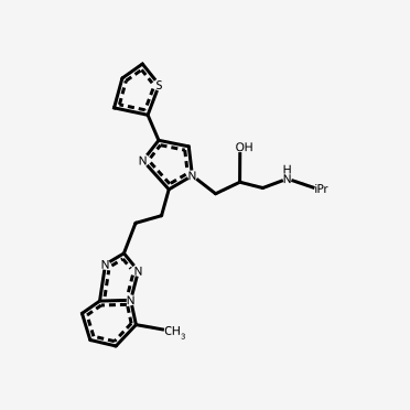 Cc1cccc2nc(CCc3nc(-c4cccs4)cn3CC(O)CNC(C)C)nn12